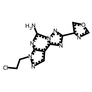 Nc1nc2c(cnn2CCCl)c2nc(-c3cocn3)nn12